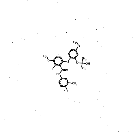 BC(B)(O)Oc1cc(OC(F)(F)F)ccc1Oc1ccc(OC(F)(F)F)c(F)c1C(=O)Nc1ccc(F)c(C)c1